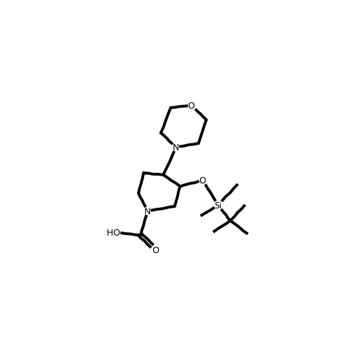 CC(C)(C)[Si](C)(C)OC1CN(C(=O)O)CCC1N1CCOCC1